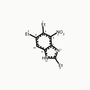 CCc1nc2c([N+](=O)[O-])c(CC)c(CC)cc2[nH]1